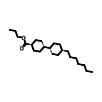 CCCCCCC[C@H]1CC[C@H]([C@H]2CC[C@H](C(=O)OCCC)CC2)CC1